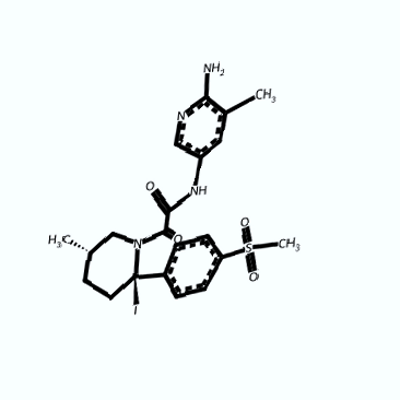 Cc1cc(NC(=O)C(=O)N2C[C@@H](C)CC[C@@]2(I)c2ccc(S(C)(=O)=O)cc2)cnc1N